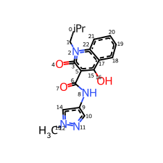 CC(C)Cn1c(=O)c(C(=O)Nc2cnn(C)c2)c(O)c2ccccc21